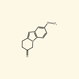 O=C1CCc2cc3cc(OC(F)(F)F)ccc3n2C1